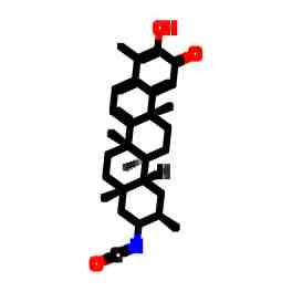 CC1=C(O)C(=O)C=C2C1=CC=C1[C@@]2(C)CC[C@@]2(C)[C@@H]3C[C@@H](C)C(N=C=O)C[C@]3(C)CC[C@]12C